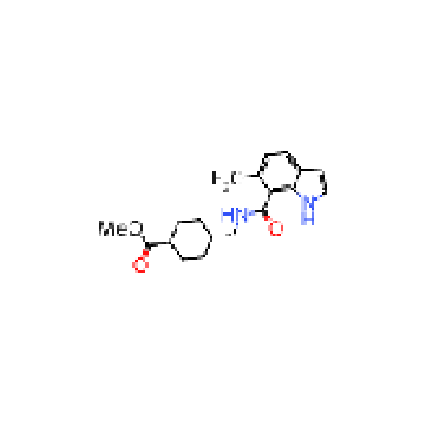 COC(=O)[C@H]1CC[C@H](CNC(=O)c2c(C(F)(F)F)ccc3cc[nH]c23)CC1